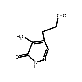 Cc1c(CCC=O)cn[nH]c1=O